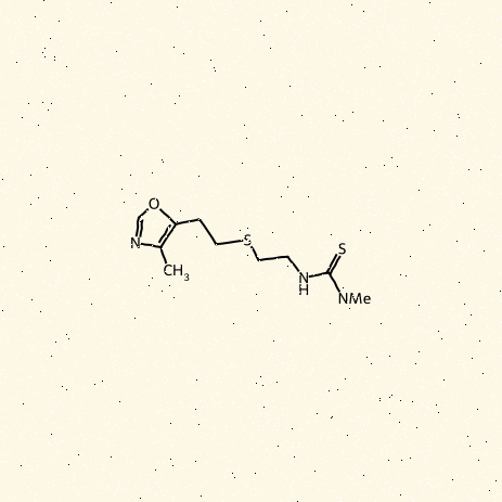 CNC(=S)NCCSCCc1ocnc1C